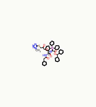 Cn1nnnc1SCC(=O)CO[C@H]1[C@H](NC(=O)Cc2ccccc2)C(=O)N1C(C(=O)OC(c1ccccc1)c1ccccc1)=P(c1ccccc1)(c1ccccc1)c1ccccc1